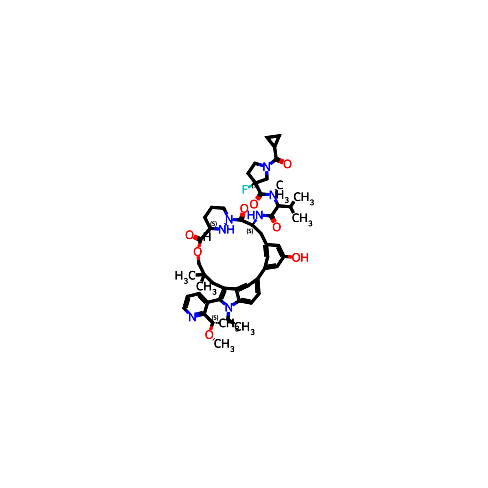 CCn1c(-c2cccnc2[C@H](C)OC)c2c3cc(ccc31)-c1cc(O)cc(c1)C[C@H](NC(=O)C(C(C)C)N(C)C(=O)[C@]1(F)CCN(C(=O)C3CC3)C1)C(=O)N1CCC[C@H](N1)C(=O)OCC(C)(C)C2